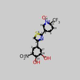 O=[N+]([O-])c1cc(-c2csc(-c3ccc(C(F)(F)F)[n+]([O-])c3)n2)cc(O)c1O